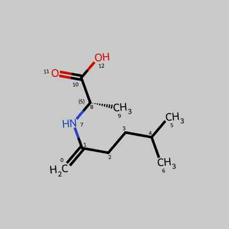 C=C(CCC(C)C)N[C@@H](C)C(=O)O